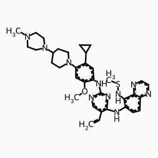 C=Cc1cnc(Nc2cc(C3CC3)c(N3CCC(N4CCN(C)CC4)CC3)cc2OC)nc1Nc1ccc2nccnc2c1NSC